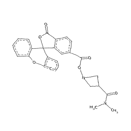 CN(C)C(=O)C1CN(OC(=O)c2ccc3c(c2)C2(OC3=O)c3ccccc3Oc3ccccc32)C1